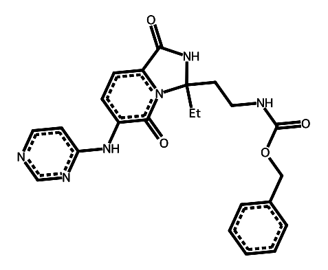 CCC1(CCNC(=O)OCc2ccccc2)NC(=O)c2ccc(Nc3ccncn3)c(=O)n21